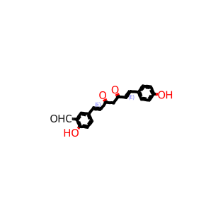 O=Cc1cc(/C=C/C(=O)CC(=O)/C=C/c2ccc(O)cc2)ccc1O